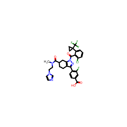 CN(CCn1ccnc1)C(=O)C1CCc2c(-c3ccc(C(=O)O)cc3F)nn(C(=O)c3c(Cl)cccc3C3(C(F)(F)F)CC3)c2C1